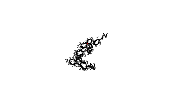 N#Cc1ccc2c(c1)c1ccccc1n2-c1ccccc1-c1ccccc1-c1ccc(-n2c3ccccc3c3ccc(C#N)cc32)cc1C#N